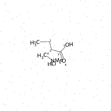 CCCC(=O)O.CNC.Cl